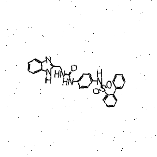 O=C(NCc1nc2ccccc2[nH]1)Nc1ccc(NS(=O)(=O)c2ccccc2-c2ccccc2)cc1